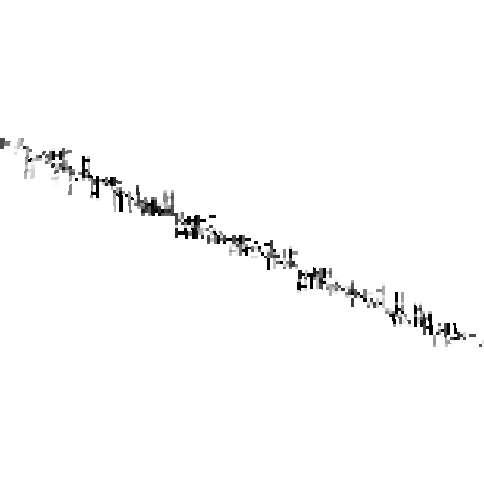 NNNNNNNNNNNNNNNNNNNNNNNNNNNNNNNNNNNNNNNNNNN